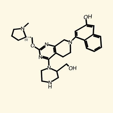 CN1CCC[C@H]1COc1nc2c(c(N3CCNCC3CO)n1)CCN(c1cc(O)cc3ccccc13)C2